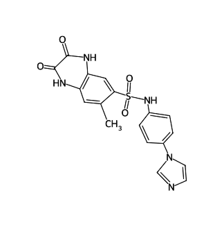 Cc1cc2[nH]c(=O)c(=O)[nH]c2cc1S(=O)(=O)Nc1ccc(-n2ccnc2)cc1